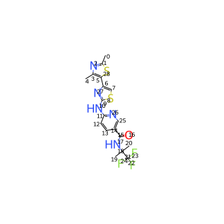 Cc1nc(C)c(-c2csc(Nc3ccc(C(=O)NC(C)(C)C(F)(F)F)cn3)n2)s1